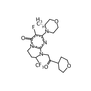 C[C@@H]1COCCN1c1nc2n(c(=O)c1F)CCC(C(F)(F)F)N2CC(=O)C1CCOCC1